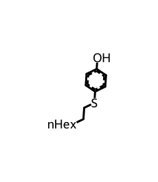 CCCCCCCCSc1ccc(O)cc1